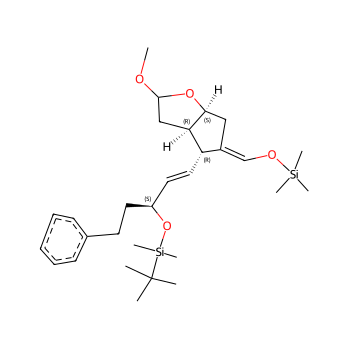 COC1C[C@H]2[C@H](CC(=CO[Si](C)(C)C)[C@@H]2C=C[C@H](CCc2ccccc2)O[Si](C)(C)C(C)(C)C)O1